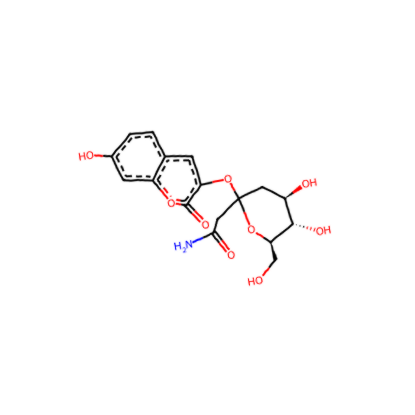 NC(=O)CC1(Oc2cc3ccc(O)cc3oc2=O)C[C@@H](O)[C@H](O)[C@@H](CO)O1